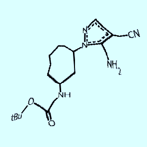 CC(C)(C)OC(=O)NC1CCCC(n2ncc(C#N)c2N)C1